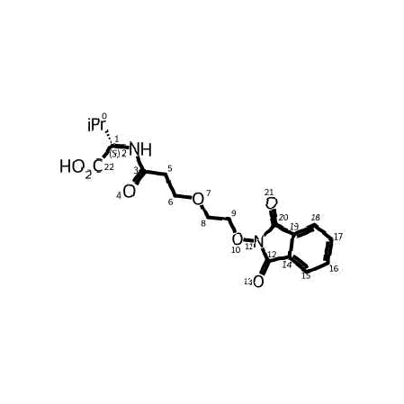 CC(C)[C@H](NC(=O)CCOCCON1C(=O)c2ccccc2C1=O)C(=O)O